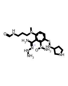 CN(CCCNC=O)c1ccc(SNC2CCNC2)c([S+](N)[O-])c1/C(N)=N/NN